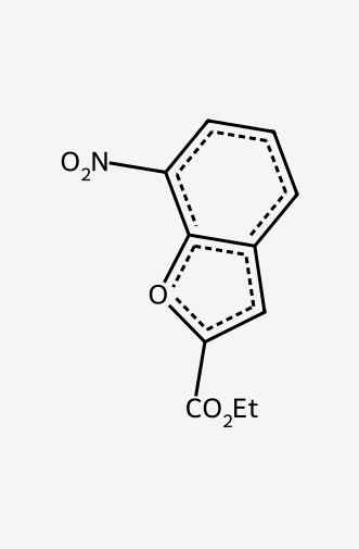 CCOC(=O)c1cc2cccc([N+](=O)[O-])c2o1